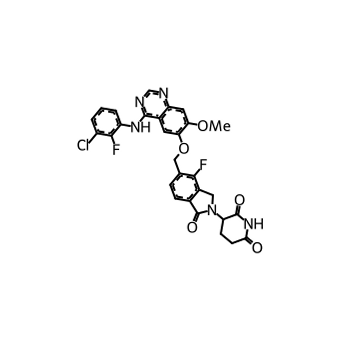 COc1cc2ncnc(Nc3cccc(Cl)c3F)c2cc1OCc1ccc2c(c1F)CN(C1CCC(=O)NC1=O)C2=O